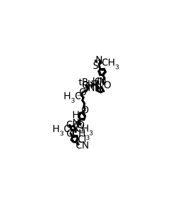 Cc1ncsc1-c1ccc(CNC(=O)[C@@H]2CCCN2C(=O)[C@@H](NC(=O)CO[C@@H](C)CCCCOc2ccc(C(=O)N[C@H]3C(C)(C)[C@H](Oc4ccc(C#N)c(Cl)c4)C3(C)C)cc2)C(C)(C)C)cc1